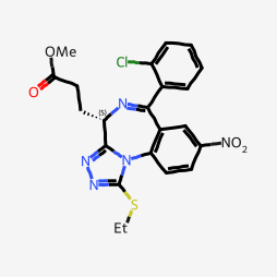 CCSc1nnc2n1-c1ccc([N+](=O)[O-])cc1C(c1ccccc1Cl)=N[C@H]2CCC(=O)OC